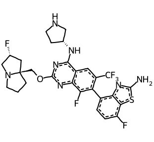 Nc1nc2c(-c3c(C(F)(F)F)cc4c(N[C@@H]5CCNC5)nc(OC[C@@]56CCCN5C[C@H](F)C6)nc4c3F)ccc(F)c2s1